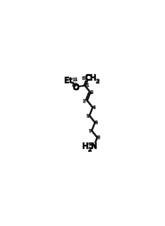 C=C(/C=C/CCCCCN)OCC